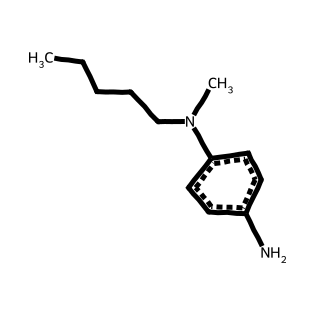 CCCCCN(C)c1ccc(N)cc1